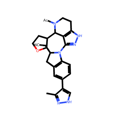 CC(=O)N1CCc2[nH]nc(N3c4ccc(-c5c[nH]nc5C)cc4CC3CC#N)c2C1C1CCOC1